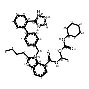 CCCCc1nc2cccc(C(=O)OC(C)OC(=O)OC3CCCCC3)c2n1Cc1ccc(-c2ccccc2-c2nnn[nH]2)cc1